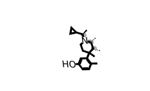 Cc1ccc(O)cc1C1(C)CCN([C@H](C)C2CC2)[C@H](C)[C@@H]1C